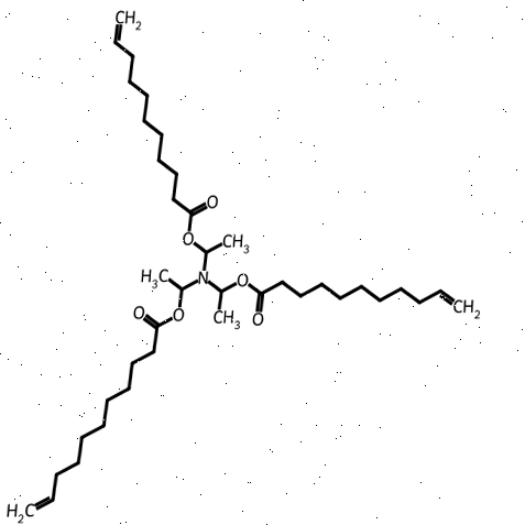 C=CCCCCCCCCC(=O)OC(C)N(C(C)OC(=O)CCCCCCCCC=C)C(C)OC(=O)CCCCCCCCC=C